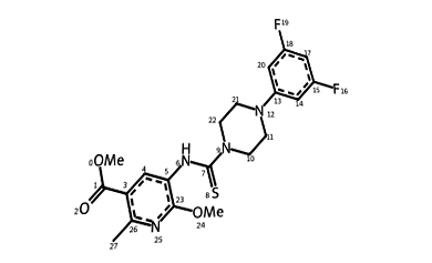 COC(=O)c1cc(NC(=S)N2CCN(c3cc(F)cc(F)c3)CC2)c(OC)nc1C